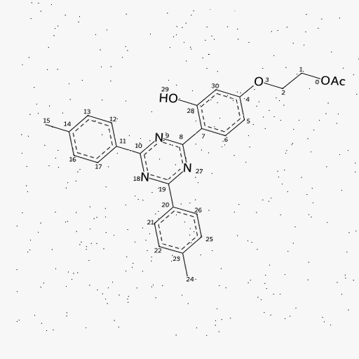 CC(=O)OCCOc1ccc(-c2nc(-c3ccc(C)cc3)nc(-c3ccc(C)cc3)n2)c(O)c1